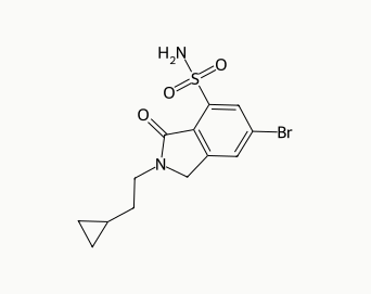 NS(=O)(=O)c1cc(Br)cc2c1C(=O)N(CCC1CC1)C2